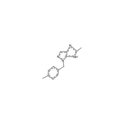 Cc1ccc(Cn2ncc3nc(C)[nH]c32)cc1